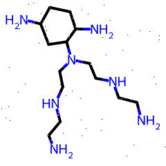 NCCNCCN(CCNCCN)C1CC(N)CCC1N